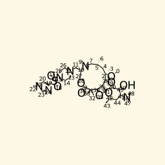 CO[C@]1(C)C[C@@H](C)CN(C)[C@H](CN2CCN(S(=O)(=O)c3cn(C)cn3)CC2)COC(=O)C(C)(C)C(=O)[C@H](C)[C@H]1O[C@@H]1O[C@H](C)C[C@H](N(C)C)[C@H]1O